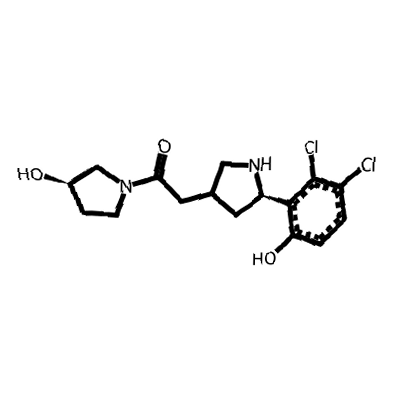 O=C(CC1CN[C@@H](c2c(O)ccc(Cl)c2Cl)C1)N1CC[C@@H](O)C1